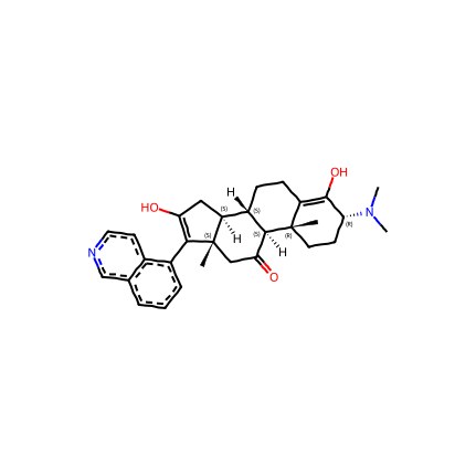 CN(C)[C@@H]1CC[C@@]2(C)C(=C1O)CC[C@@H]1[C@@H]2C(=O)C[C@]2(C)C(c3cccc4cnccc34)=C(O)C[C@@H]12